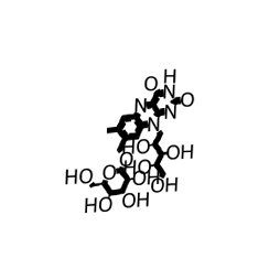 Cc1cc2nc3c(=O)[nH]c(=O)nc-3n(C[C@@H](O)[C@@H](O)[C@@H](O)CO)c2cc1COC1O[C@H](CO)[C@@H](O)[C@H](O)[C@H]1O